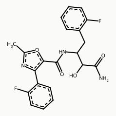 Cc1nc(-c2ccccc2F)c(C(=O)NC(Cc2ccccc2F)C(O)C(N)=O)o1